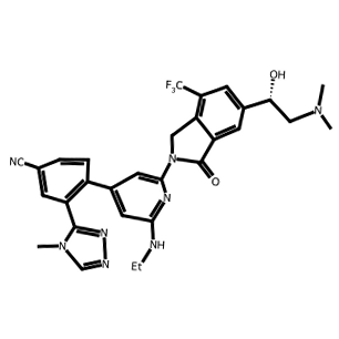 CCNc1cc(-c2ccc(C#N)cc2-c2nncn2C)cc(N2Cc3c(cc([C@H](O)CN(C)C)cc3C(F)(F)F)C2=O)n1